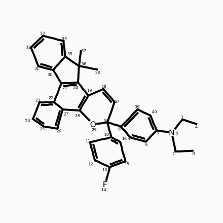 CCN(CC)c1ccc(C2(c3ccc(F)cc3)C=Cc3c4c(c5ccccc5c3O2)-c2ccccc2C4(C)C)cc1